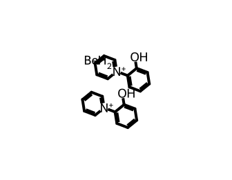 Oc1ccccc1-[n+]1ccccc1.Oc1ccccc1-[n+]1ccccc1.[BeH2]